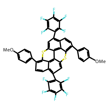 COc1ccc(-c2ccc3c(-c4c(F)c(F)c(F)c(F)c4F)cc4sc5c(-c6ccc(OC)cc6)ccc6c(-c7c(F)c(F)c(F)c(F)c7F)cc7sc2c3c4-c7c65)cc1